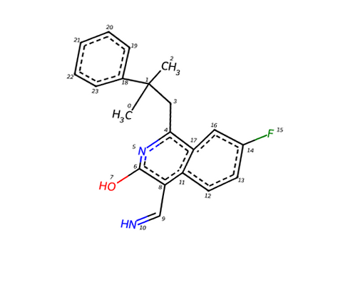 CC(C)(Cc1nc(O)c(C=N)c2ccc(F)cc12)c1ccccc1